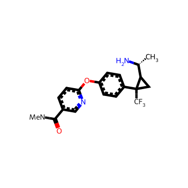 CNC(=O)c1ccc(Oc2ccc(C3(C(F)(F)F)CC3[C@@H](C)N)cc2)nc1